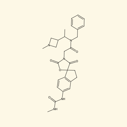 CNC(=O)Nc1ccc2c(c1)CCC21OC(=O)N(CC(=O)N(Cc2ccccc2)C(C)C2CN(C)C2)C1=O